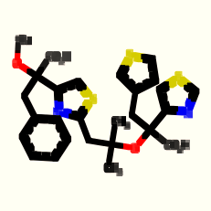 CC(C)(C)OC(Cc1ccccc1)(C(=O)O)c1csc(CC(C)(C)OC(Cc2ccsc2)(C(=O)O)c2cscn2)n1